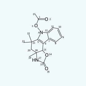 CC(=O)On1c2c(c3ccccc31)C1OC(=O)NC1(C)CC2(C)C